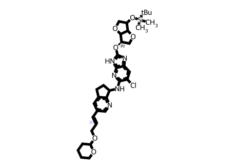 CC(C)(C)[Si](C)(C)OC1COC2C1OC[C@H]2Oc1nc2cc(Cl)c(NC3CCc4cc(/C=C/COC5CCCCO5)cnc43)nc2[nH]1